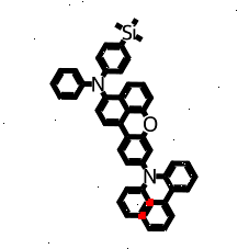 C[Si](C)(C)c1ccc(N(c2ccccc2)c2ccc3c4c(cccc24)Oc2cc(N(c4ccccc4)c4ccccc4-c4ccccc4)ccc2-3)cc1